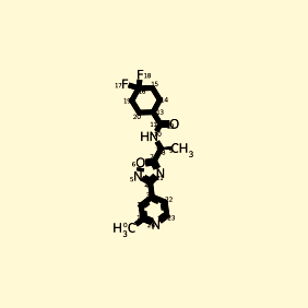 Cc1cc(-c2noc([C@H](C)NC(=O)C3CCC(F)(F)CC3)n2)ccn1